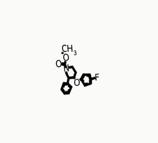 CCOC(=O)N1CCC(Oc2ccc(F)cc2)C(c2ccccc2)C1